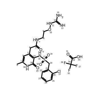 Cc1cc(CC(=O)NCCONC(=N)N)c(NS(=O)(=O)Cc2ccccc2Cl)c(=O)[nH]1.O=C(O)C(F)(F)F